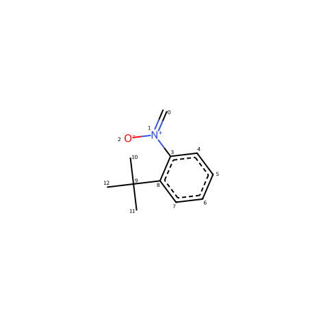 C=[N+]([O-])c1ccccc1C(C)(C)C